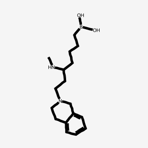 CNC(CCCCB(O)O)CCN1CCc2ccccc2C1